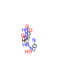 N#Cc1ccc2c(c1)N(CCN[C@H]1CC[C@H]3[C@H](C1)OC(=O)N3c1ccc3c(n1)NC(=O)CO3)C(O)C=C2